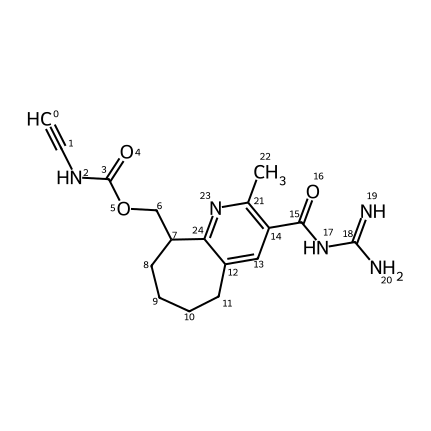 C#CNC(=O)OCC1CCCCc2cc(C(=O)NC(=N)N)c(C)nc21